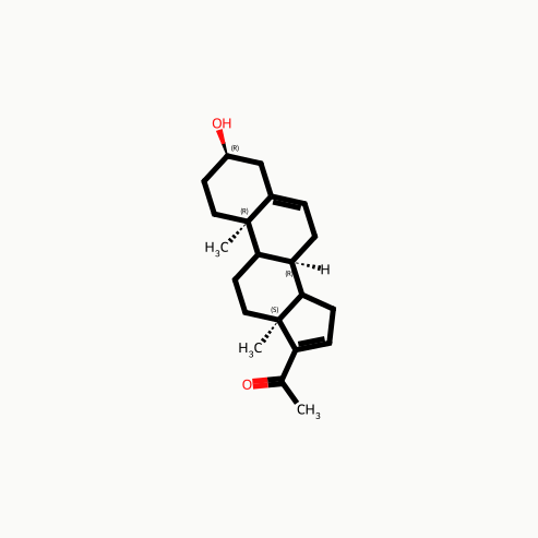 CC(=O)C1=CCC2[C@@H]3CC=C4C[C@H](O)CC[C@]4(C)C3CC[C@]12C